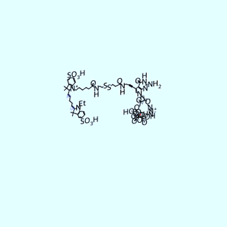 CCN1/C(=C\CC/C=C/C2=[N+](CCCCCC(=O)NCCSSCCC(=O)NCC#Cc3cn([C@H]4C[C@H](OCN=[N+]=[N-])[C@@H](COP(=O)(O)OP(=O)(O)OP(=O)(O)O)O4)c4nc(N)[nH]c(=O)c34)c3ccc(S(=O)(=O)O)cc3C2(C)C)C(C)(C)c2cc(S(=O)(=O)O)ccc21